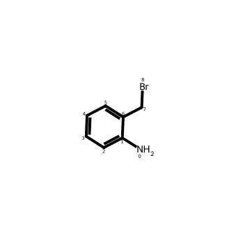 Nc1ccccc1CBr